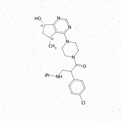 CC(C)NCC(C(=O)N1CCN(c2ncnc3c2[C@H](C)C[C@@H]3O)CC1)c1ccc(Cl)cc1